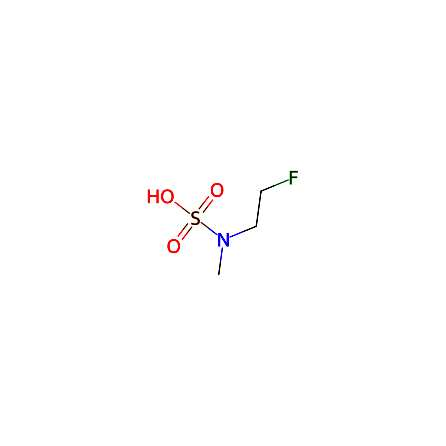 CN(CCF)S(=O)(=O)O